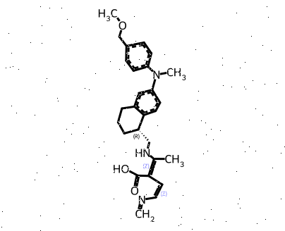 C=N/C=C\C(C(=O)O)=C(/C)NC[C@@H]1CCCc2cc(N(C)c3ccc(COC)cc3)ccc21